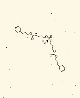 NP(=O)(OCCCOC(=O)OCCCc1ccccc1)OCCCOC(=O)OCCCc1ccccc1